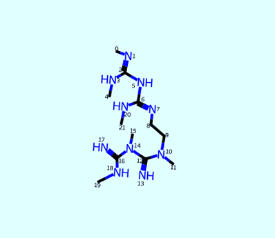 C/N=C(\NC)N/C(=N/CCN(C)C(=N)N(C)C(=N)NC)NC